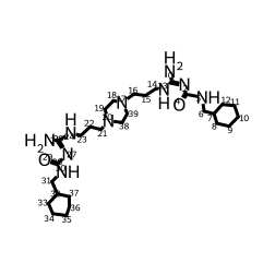 NC(=NC(=O)NCC1CCCCC1)NCCCN1CCN(CCCNC(N)=NC(=O)NCC2CCCCC2)CC1